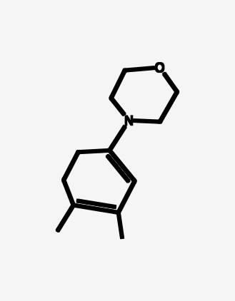 CC1=C(C)CCC(N2CCOCC2)=C1